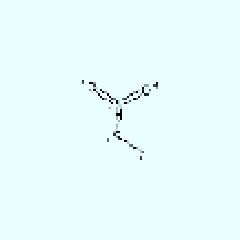 CS[SH](=O)=O